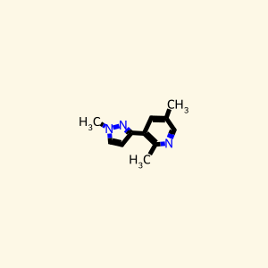 Cc1cnc(C)c(-c2ccn(C)n2)c1